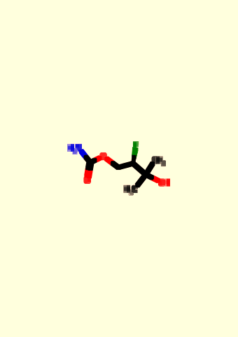 CC(C)(O)[C@H](F)COC(N)=O